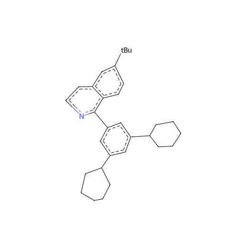 CC(C)(C)c1ccc2c(-c3cc(C4CCCCC4)cc(C4CCCCC4)c3)nccc2c1